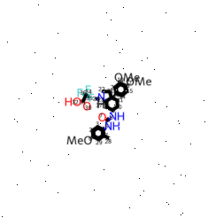 COc1ccc(NC(=O)N[C@@H]2CC[C@@]3(c4ccc(OC)c(OC)c4)CCN(C)[C@H]3C2)c(C)c1.O=C(O)C(F)(F)F